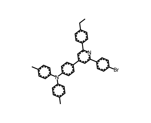 CCc1ccc(-c2cc(-c3ccc(N(c4ccc(C)cc4)c4ccc(C)cc4)cc3)cc(-c3ccc(Br)cc3)n2)cc1